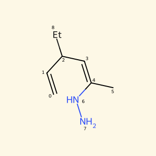 C=CC(C=C(C)NN)CC